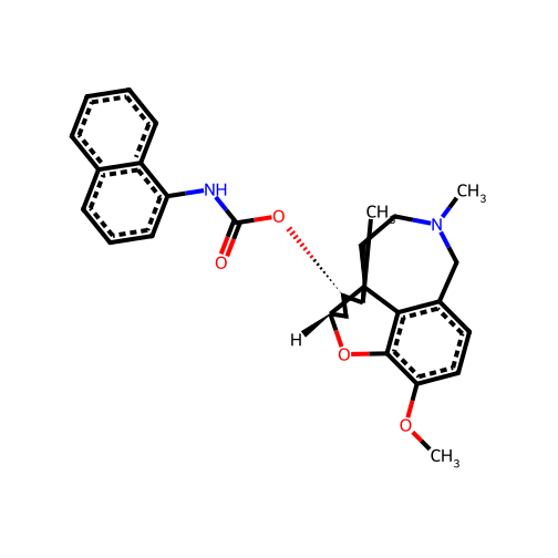 COc1ccc2c3c1O[C@H]1C[C@H](OC(=O)Nc4cccc5ccccc45)C(C)[C@@]31CCN(C)C2